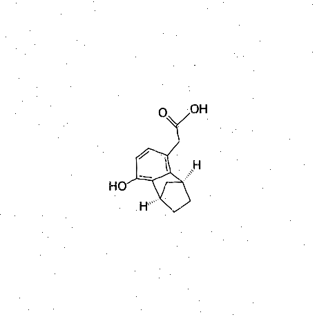 O=C(O)Cc1ccc(O)c2c1[C@H]1CC[C@@H]2C1